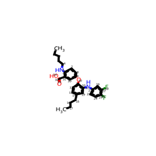 CCCCCNc1ccc(Oc2ccc(CCCC)cc2Nc2ccc(F)c(F)c2)cc1C(=O)O